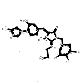 COc1cc(/C=C2/C(=O)N(Cc3cc(F)c(F)c(F)c3)/C(=N/CCO)N2C)ccc1-n1cnc(C)c1